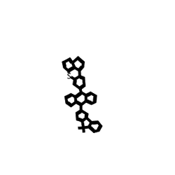 CC1(C)c2ccccc2-c2cc(-c3c4ccccc4c(-c4ccc5c(c4)Sc4cccc6cccc-5c46)c4ccccc34)ccc21